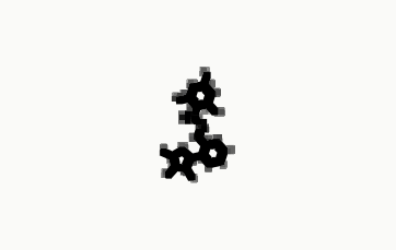 CC1=C(C)C(C)=C(c2ccccc2C=NNc2c(C)cc(C)cc2C)C1